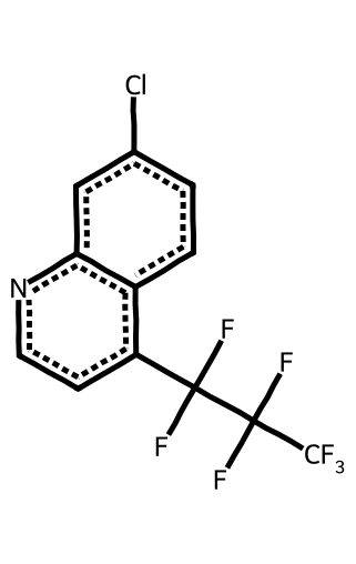 FC(F)(F)C(F)(F)C(F)(F)c1ccnc2cc(Cl)ccc12